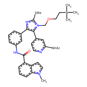 CSc1nc(-c2cccc(NC(=O)c3cccc4c3ccn4C)c2)c(-c2ccnc(NC(C)=O)c2)n1COCC[Si](C)(C)C